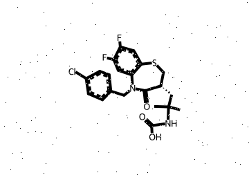 CC(C)(C[C@H]1CSc2cc(F)c(F)cc2N(Cc2ccc(Cl)cc2)C1=O)NC(=O)O